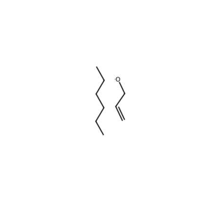 C=CC[O].CCCCCC